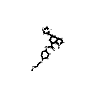 COCCOC1CCC(NC(=O)c2cc(-c3cncs3)cc3cc[nH]c23)CC1